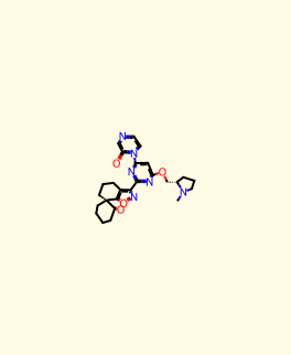 CN1CCC[C@H]1COc1cc(-n2ccncc2=O)nc(-c2noc3c2CCC[C@@]32CCCCC2=O)n1